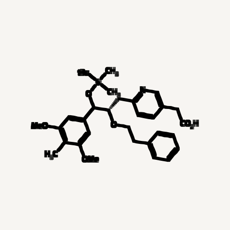 COc1cc(C(O[Si](C)(C)C(C)(C)C)[C@H](Cc2ccc(CC(=O)O)cn2)OCCc2ccccc2)cc(OC)c1C